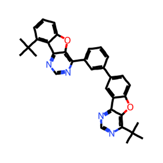 CC(C)(C)c1ncnc2c1oc1ccc(-c3cccc(-c4ncnc5c4oc4cccc(C(C)(C)C)c45)c3)cc12